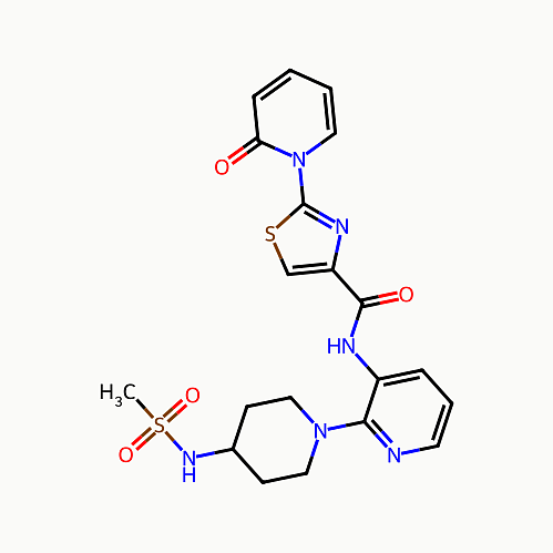 CS(=O)(=O)NC1CCN(c2ncccc2NC(=O)c2csc(-n3ccccc3=O)n2)CC1